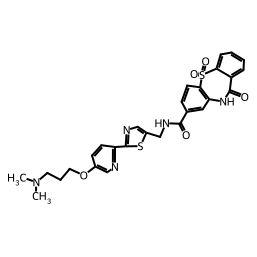 CN(C)CCCOc1ccc(-c2ncc(CNC(=O)c3ccc4c(c3)NC(=O)c3ccccc3S4(=O)=O)s2)nc1